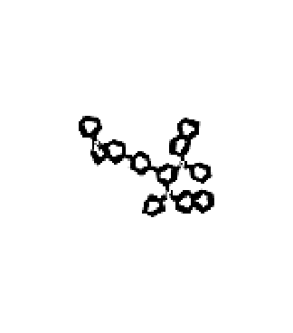 c1ccc(N(c2cc(-c3ccc(-c4ccc5c(ccn5-c5ccccc5)c4)cc3)cc(N(c3ccccc3)c3ccc4ccccc4c3)c2)c2ccc3ccccc3c2)cc1